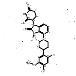 COc1cc(C2CCN(c3cccc4c3n(C)c(=O)n4C3CCC(=O)NC3=O)CC2)c(F)cc1Cl